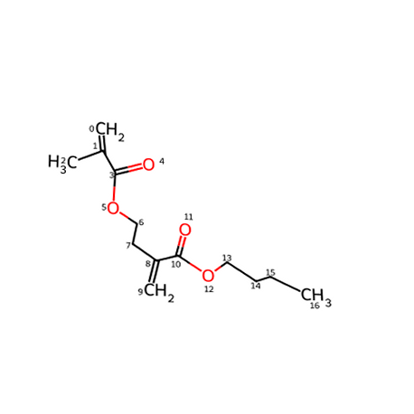 C=C(C)C(=O)OCCC(=C)C(=O)OCCCC